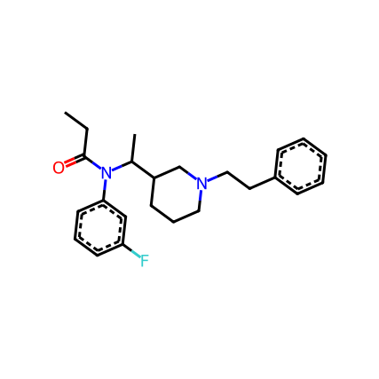 CCC(=O)N(c1cccc(F)c1)C(C)C1CCCN(CCc2ccccc2)C1